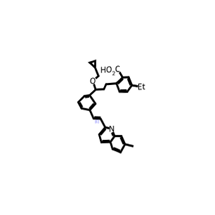 CCc1ccc(CCC(OCC2CC2)c2cccc(/C=C/c3ccc4ccc(C)cc4n3)c2)c(C(=O)O)c1